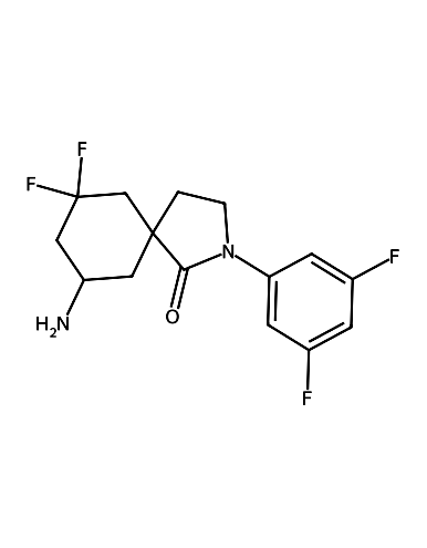 NC1CC(F)(F)CC2(CCN(c3cc(F)cc(F)c3)C2=O)C1